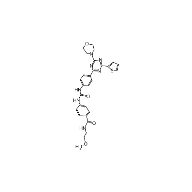 COCCNC(=O)c1ccc(NC(=O)Nc2ccc(-c3nc(-c4cccs4)nc(N4CCOCC4)n3)cc2)cc1